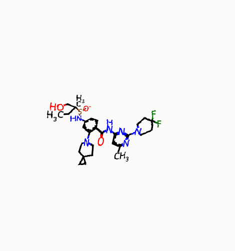 CC[C@@](C)(CO)[S+]([O-])Nc1ccc(C(=O)Nc2cc(C)nc(N3CCC(F)(F)CC3)n2)c(N2CCC3(CC2)CC3)c1